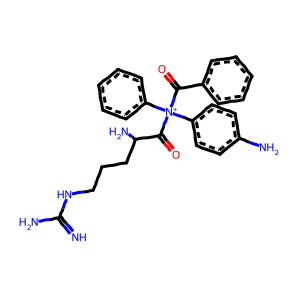 N=C(N)NCCCC(N)C(=O)[N+](C(=O)c1ccccc1)(c1ccccc1)c1ccc(N)cc1